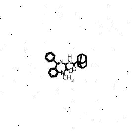 CN1C(=O)C(NC(=O)C23CC4CC(CC(C4)C2)C3)N=C(c2ccccc2)c2ccccc21